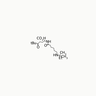 CCC(C)(C)NCCCCCC(=O)NC(CCC(=O)C(C)(C)C)C(=O)O